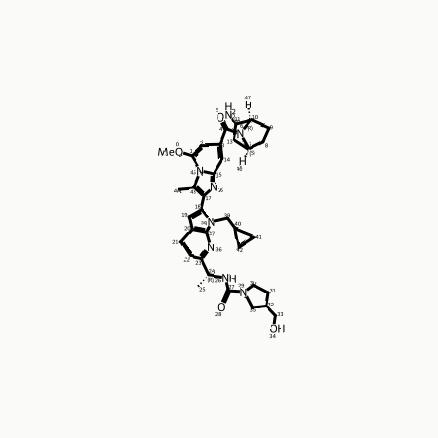 COc1cc(C(=O)N2[C@H]3CC[C@@H]2[C@H](N)C3)cc2nc(-c3cc4ccc([C@@H](C)NC(=O)N5CCC(CO)C5)nc4n3CC3CC3)c(C)n12